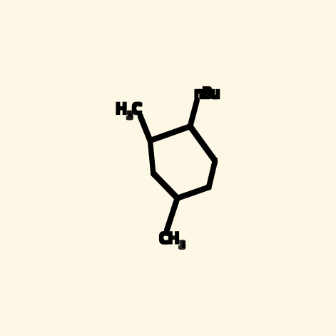 CC[CH]CC1CCC(C)CC1C